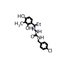 CC/C(=N\NC(=O)NCc1ccc(Cl)cc1)c1ccc(O)c(C)c1O